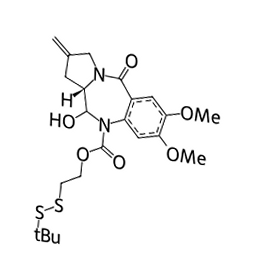 C=C1C[C@H]2C(O)N(C(=O)OCCSSC(C)(C)C)c3cc(OC)c(OC)cc3C(=O)N2C1